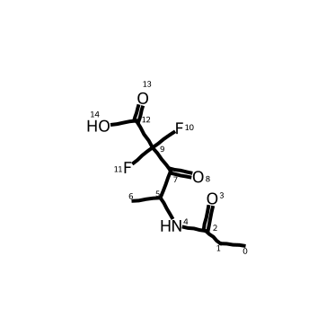 CCC(=O)NC(C)C(=O)C(F)(F)C(=O)O